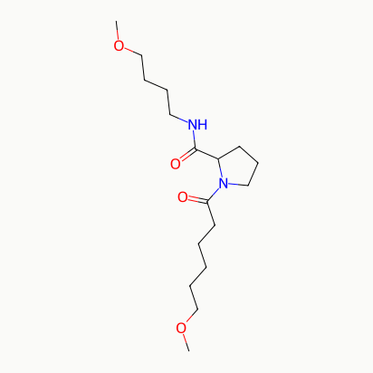 COCCCCCC(=O)N1CCCC1C(=O)NCCCCOC